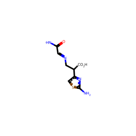 [NH]C(=O)C=NCC(C(=O)O)c1csc(N)n1